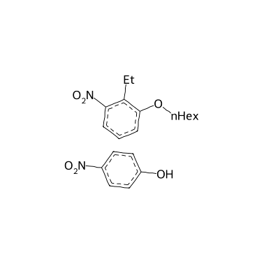 CCCCCCOc1cccc([N+](=O)[O-])c1CC.O=[N+]([O-])c1ccc(O)cc1